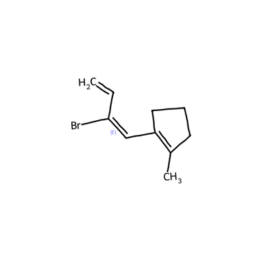 C=C/C(Br)=C\C1=C(C)CCC1